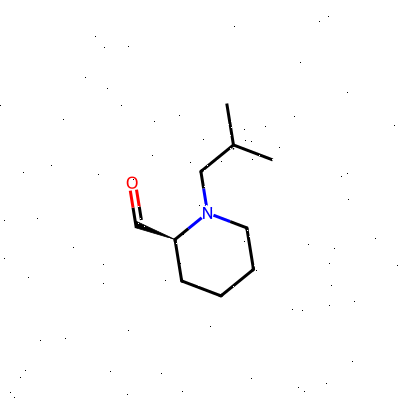 C[C](C)CN1CCCC[C@H]1C=O